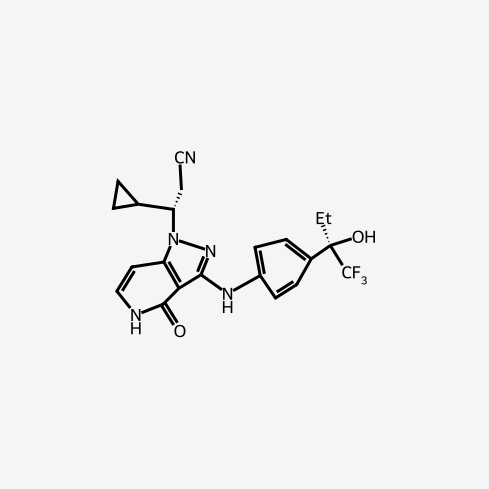 CC[C@@](O)(c1ccc(Nc2nn([C@@H](CC#N)C3CC3)c3cc[nH]c(=O)c23)cc1)C(F)(F)F